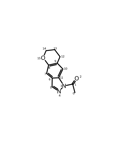 CC(=O)n1ncc2cc3c(cc21)CCCO3